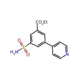 CCOC(=O)c1cc(-c2ccncc2)cc(S(N)(=O)=O)c1